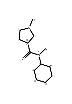 CN1CC[C@H](C(=O)N(C)C2CCCCC2)C1